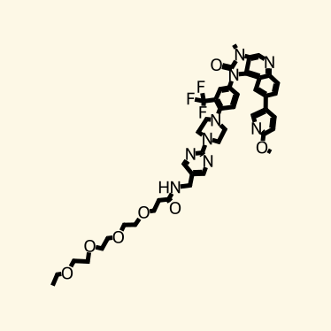 CCOCCOCCOCCOCCC(=O)NCc1cnc(N2CCN(c3ccc(-n4c(=O)n(C)c5cnc6ccc(-c7ccc(OC)nc7)cc6c54)cc3C(F)(F)F)CC2)nc1